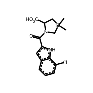 C[Si]1(C)CC(C(=O)O)N(C(=O)c2cc3cccc(Cl)c3[nH]2)C1